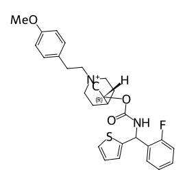 COc1ccc(CC[N+]23CCC(CC2)[C@@H](OC(=O)NC(c2cccs2)c2ccccc2F)C3)cc1